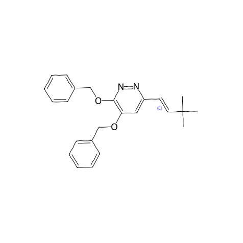 CC(C)(C)/C=C/c1cc(OCc2ccccc2)c(OCc2ccccc2)nn1